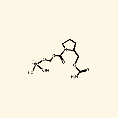 NC(=O)OCC1CCCN1C(=O)OCOP(=O)(O)O